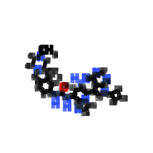 CN1CCN(Cc2ccc(NC(=O)Nc3ccc(-c4cn(C5CCC5)c5ncnc(N)c45)n4ccnc34)cc2C(F)(F)F)CC1